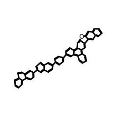 c1ccc2cc3c(cc2c1)oc1cc2c4ccc(-c5ccc(-c6ccc7cc(-c8ccc9c(ccc%10ccccc%109)c8)ccc7c6)cc5)cc4c4ccccc4c2cc13